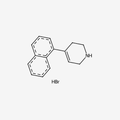 Br.C1=C(c2cccc3ccccc23)CCNC1